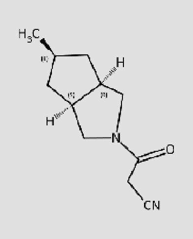 C[C@@H]1C[C@@H]2CN(C(=O)CC#N)C[C@@H]2C1